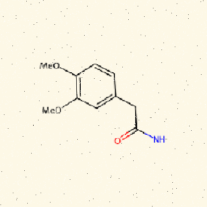 COc1ccc(CC([NH])=O)cc1OC